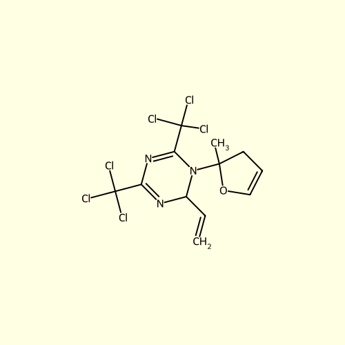 C=CC1N=C(C(Cl)(Cl)Cl)N=C(C(Cl)(Cl)Cl)N1C1(C)CC=CO1